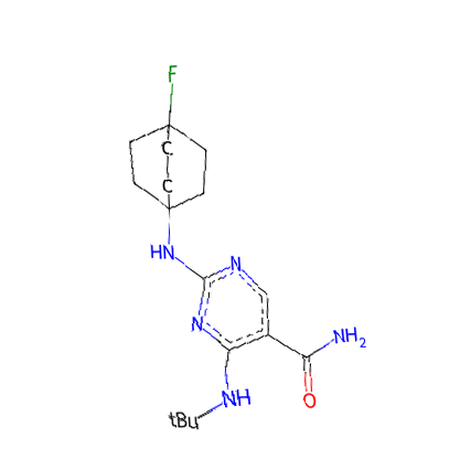 CC(C)(C)Nc1nc(NC23CCC(F)(CC2)CC3)ncc1C(N)=O